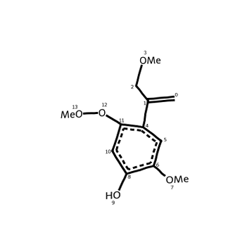 C=C(COC)c1cc(OC)c(O)cc1OOC